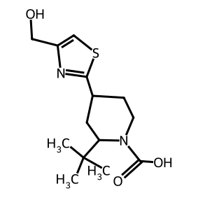 CC(C)(C)C1CC(c2nc(CO)cs2)CCN1C(=O)O